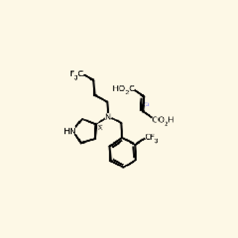 FC(F)(F)CCCN(Cc1ccccc1C(F)(F)F)[C@H]1CCNC1.O=C(O)/C=C/C(=O)O